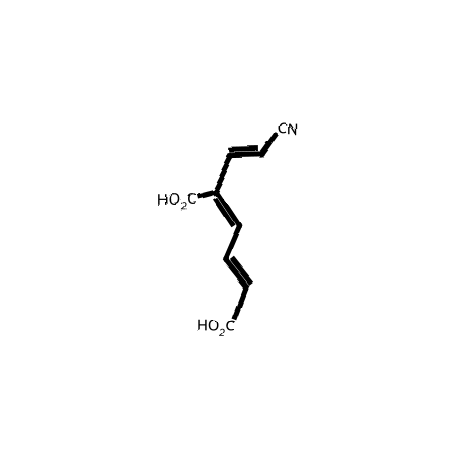 N#CC=CC(=CC=CC(=O)O)C(=O)O